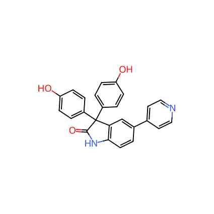 O=C1Nc2ccc(-c3ccncc3)cc2C1(c1ccc(O)cc1)c1ccc(O)cc1